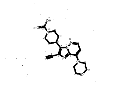 C#Cc1nc2c(N3CCOCC3)ccnn2c1C1CCN(C(=O)O)CC1